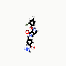 CNC(=O)c1ccc(CN2Cc3ccnc(Oc4ccc(C)cc4F)c3C2=O)cc1